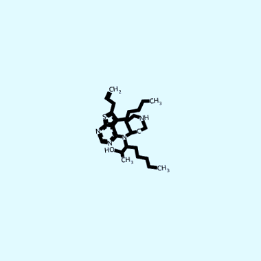 C=CCc1sc2ncnc(N(C3CCNCC3)C(CCCCC)C(C)O)c2c1CCCCC